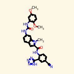 COc1ccc(OC)c(NC(=O)Nc2ccc3cc(C(=O)Nc4ccc(C#N)cc4-c4nnn[nH]4)n(C)c3c2)c1